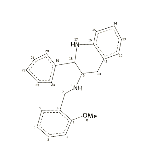 COc1ccccc1CNC1Cc2ccccc2NC1c1ccccc1